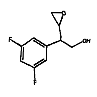 OCC(c1cc(F)cc(F)c1)C1CO1